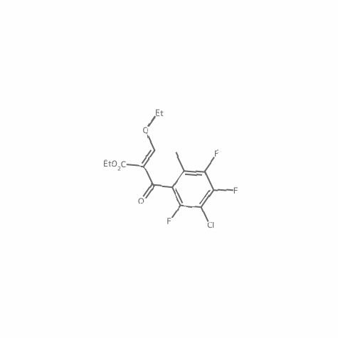 CCOC=C(C(=O)OCC)C(=O)c1c(C)c(F)c(F)c(Cl)c1F